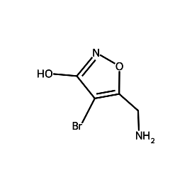 NCc1onc(O)c1Br